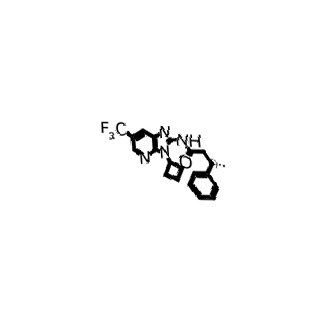 C[C@@H](CC(=O)Nc1nc2cc(C(F)(F)F)cnc2n1C1CCC1)c1ccccc1